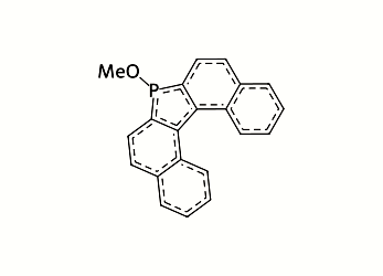 COp1c2ccc3ccccc3c2c2c3ccccc3ccc21